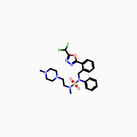 CN1CCN(CCN(C)S(=O)(=O)N(Cc2ccccc2-c2nnc(C(F)F)o2)c2ccccc2)CC1